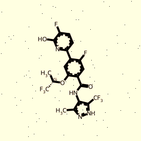 Cc1n[nH]c(C(F)(F)F)c1NC(=O)c1cc(F)c(-c2ccc(F)c(O)n2)cc1O[C@@H](C)C(F)(F)F